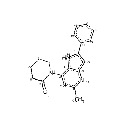 Cc1nc(N2CCCCC2=O)c2[nH]c(-c3ccccc3)cc2n1